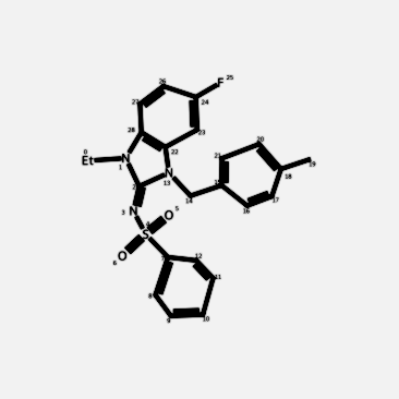 CCn1/c(=N/S(=O)(=O)c2ccccc2)n(Cc2ccc(C)cc2)c2cc(F)ccc21